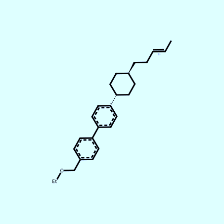 C/C=C/CC[C@H]1CC[C@H](c2ccc(-c3ccc(COCC)cc3)cc2)CC1